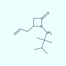 C=CCC1CC(=O)N1[SiH2]C(C)(C)C(C)C